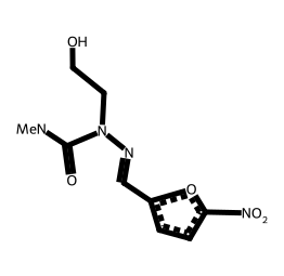 CNC(=O)N(CCO)N=Cc1ccc([N+](=O)[O-])o1